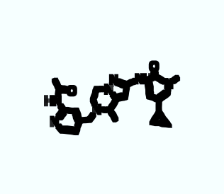 CC(=O)Nc1cc(CN2CCn3nc(Nc4cc(C5CC5)cn(C)c4=O)cc3C2C)ccn1